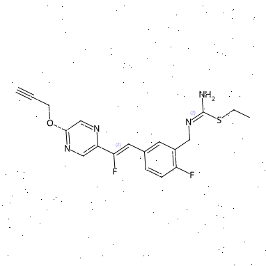 C#CCOc1cnc(/C(F)=C/c2ccc(F)c(C/N=C(/N)SCC)c2)cn1